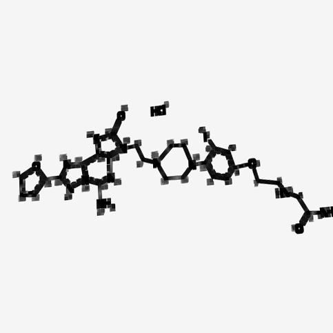 Cl.NC(=O)CNCCOc1ccc(N2CCN(CCn3c(=O)sc4c3nc(N)n3nc(-c5ccco5)nc43)CC2)c(F)c1